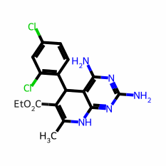 CCOC(=O)C1=C(C)Nc2nc(N)nc(N)c2C1c1ccc(Cl)cc1Cl